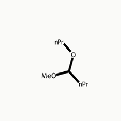 CC[CH]OC(CCC)OC